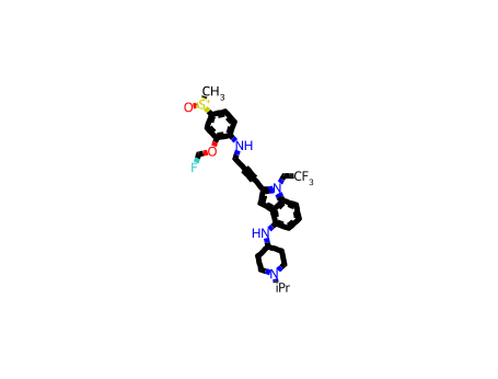 CC(C)N1CCC(Nc2cccc3c2cc(C#CCNc2ccc([S+](C)[O-])cc2OCF)n3CC(F)(F)F)CC1